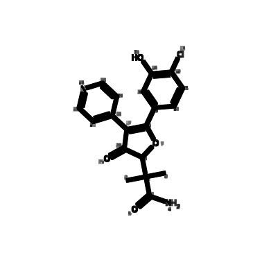 CC(C)(C(N)=O)C1OC(c2ccc(Cl)c(O)c2)=C(c2ccncc2)C1=O